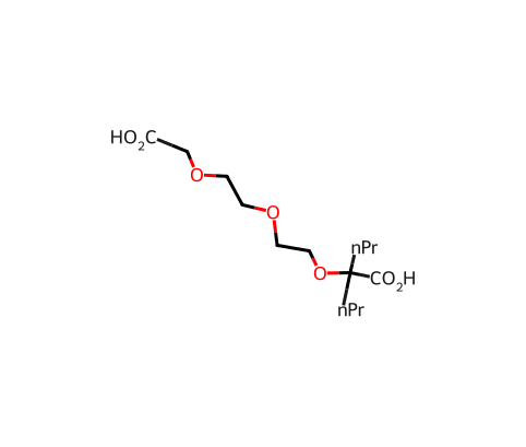 CCCC(CCC)(OCCOCCOCC(=O)O)C(=O)O